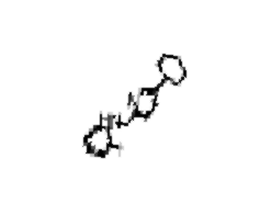 Fc1ccccc1NCc1ccc(C2CCCCC2)cn1